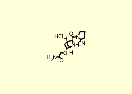 Cl.N#C[C@@H]1CCCN1C(=O)[C@H]1N[C@@H]2C[C@H]1C[C@H]2OCC(N)=O